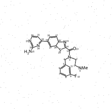 CNCCN(Cc1cccc(F)c1)C(=O)C1=NC2C=CC(c3ccnc(N)n3)=CC2S1